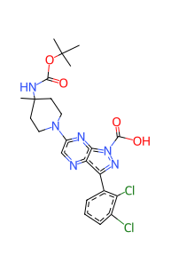 CC1(NC(=O)OC(C)(C)C)CCN(c2cnc3c(-c4cccc(Cl)c4Cl)nn(C(=O)O)c3n2)CC1